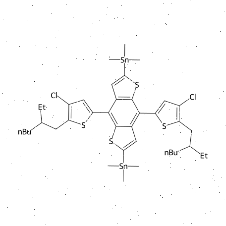 CCCCC(CC)Cc1sc(-c2c3c[c]([Sn]([CH3])([CH3])[CH3])sc3c(-c3cc(Cl)c(CC(CC)CCCC)s3)c3c[c]([Sn]([CH3])([CH3])[CH3])sc23)cc1Cl